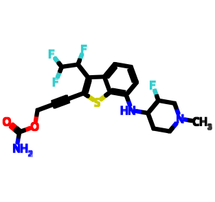 CN1CCC(Nc2cccc3c(C(F)C(F)F)c(C#CCOC(N)=O)sc23)C(F)C1